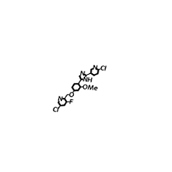 COc1cc(OCc2ncc(Cl)cc2F)ccc1-c1cnc(-c2ccc(Cl)nc2)[nH]1